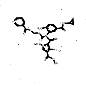 CCCNC(=O)c1cn(NC)c(C(=N)N(C(=O)OCOC(=O)c2cccnc2)c2cc(C(=O)NC3CC3)ccc2C)c1C